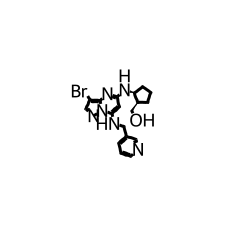 OC[C@@H]1CCC[C@@H]1Nc1cc(NCc2cccnc2)n2ncc(Br)c2n1